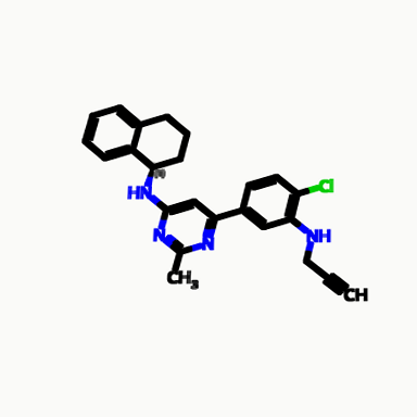 C#CCNc1cc(-c2cc(N[C@@H]3CCCc4ccccc43)nc(C)n2)ccc1Cl